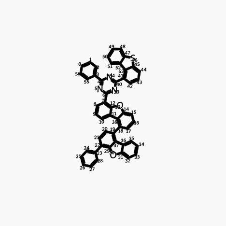 c1ccc(-c2nc(-c3cccc4c3oc3cccc(-c5ccc(-c6ccccc6)c6oc7ccccc7c56)c34)nc(-c3cccc4sc5ccccc5c34)n2)cc1